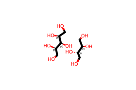 OC[C@@H](O)[C@@H](O)CO.OC[C@@H](O)[C@H](O)[C@@H](O)CO